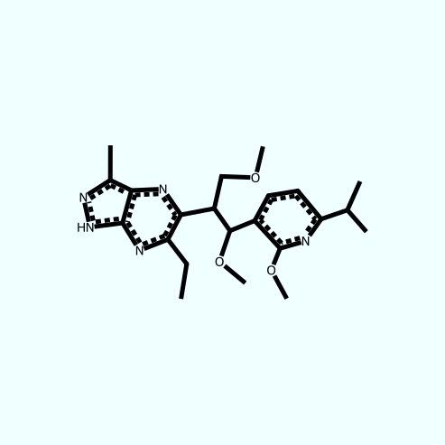 CCc1nc2[nH]nc(C)c2nc1C(COC)C(OC)c1ccc(C(C)C)nc1OC